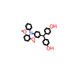 COc1ccccc1N(c1ccc(C(c2ccc(O)cc2)c2ccc(O)cc2)cc1)c1ccccc1OC